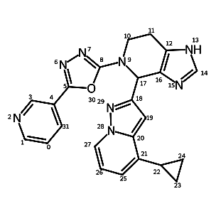 c1cncc(-c2nnc(N3CCc4[nH]cnc4C3c3cc4c(C5CC5)cccn4n3)o2)c1